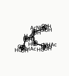 CC(=O)N[C@H]1C(O)[C@@H](O)C(CO)O[C@H]1OCCCCCCOP(=O)(O)OCCCOCC(C)(COCCCOP(=O)(O)OCCCCCCO[C@@H]1OC(CO)[C@H](O)C(O)[C@@H]1NC(C)=O)COCOP(=O)(O)OCCCCCCO[C@@H]1OC(CO)[C@H](O)C(O)[C@@H]1NC(C)=O